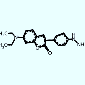 CCN(CC)c1ccc2cc(-c3ccc(NN)cc3)c(=O)oc2c1